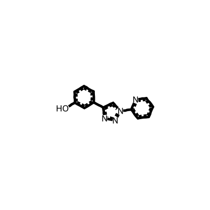 Oc1cccc(-c2cn(-c3ccccn3)nn2)c1